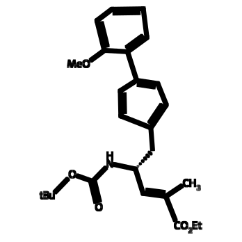 CCOC(=O)C(C)=C[C@@H](Cc1ccc(-c2ccccc2OC)cc1)NC(=O)OC(C)(C)C